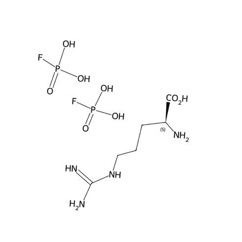 N=C(N)NCCC[C@H](N)C(=O)O.O=P(O)(O)F.O=P(O)(O)F